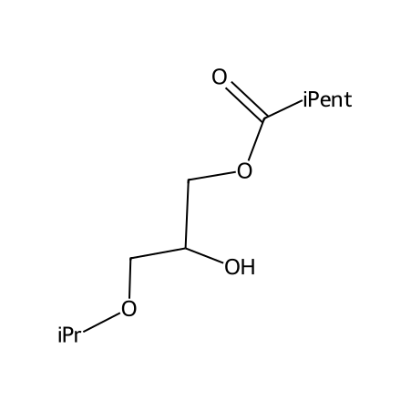 CCCC(C)C(=O)OCC(O)COC(C)C